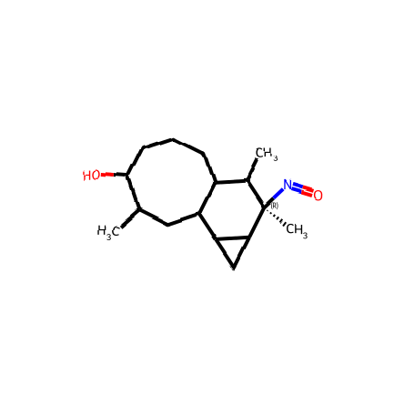 CC1CC2C(CCCC1O)C(C)[C@@](C)(N=O)C1CC21